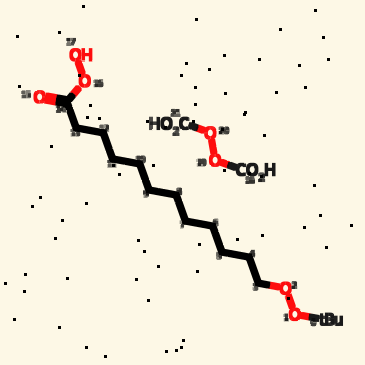 CC(C)(C)OOCCCCCCCCCCCC(=O)OO.O=C(O)OOC(=O)O